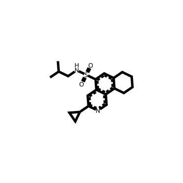 CC(C)CNS(=O)(=O)c1cc2c(c3cnc(C4CC4)cc13)CCCC2